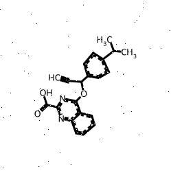 C#CC(Oc1nc(C(=O)O)nc2ccccc12)c1ccc(C(C)C)cc1